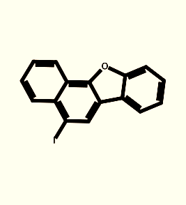 Ic1cc2c3ccccc3oc2c2ccccc12